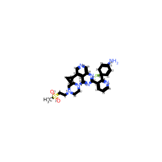 CS(=O)(=O)CCN1CCN(c2nc(-c3cccnc3C3(F)C=CC(N)=CC3)nc3cncc(C4CC4)c23)CC1